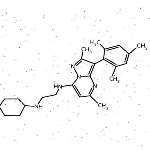 Cc1cc(C)c(-c2c(C)nn3c(NCCNC4CCCCC4)cc(C)nc23)c(C)c1